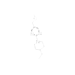 CCC1CCN(c2ncc(COC)cn2)CC1